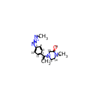 C=C(c1ccc(N=[N+]=NC)cc1)N1CCN(C)C(=O)C1